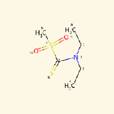 CCN(CC)C(=S)S(C)(=O)=O